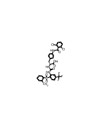 Cc1ccccc1S(=O)(=O)c1ccc(C(F)(F)F)cc1NC(=O)N[C@@H](Cc1ccc(NC(=O)c2c(Cl)cccc2Cl)cc1)C(=O)O